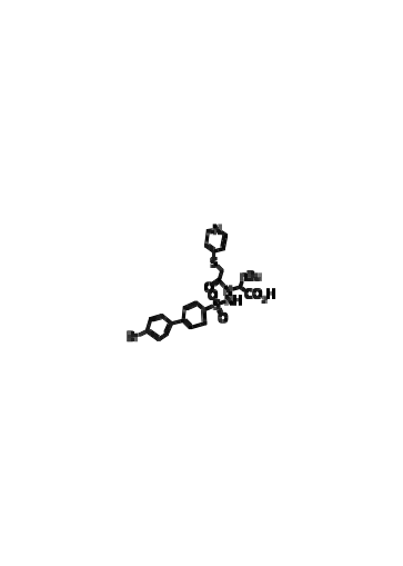 CCCCC(C(=O)O)N(NS(=O)(=O)c1ccc(-c2ccc(Br)cc2)cc1)C(=O)CSc1ccncc1